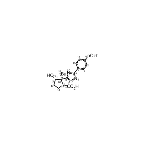 CCCCCCCCc1ccc(-c2noc([C@]3(C(C)(C)C)[C@@H](O)CCN3C(=O)O)n2)cc1